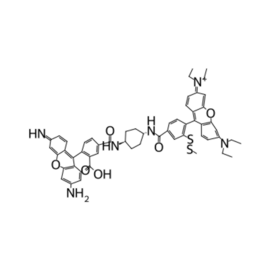 CCN(CC)c1ccc2c(-c3ccc(C(=O)N[C@H]4CC[C@H](NC(=O)c5ccc(-c6c7ccc(=N)cc-7oc7cc(N)ccc67)c(C(=O)O)c5)CC4)cc3SSC)c3ccc(=[N+](CC)CC)cc-3oc2c1